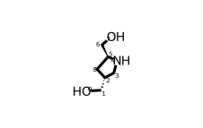 OC[C@H]1CN[C@H](CO)C1